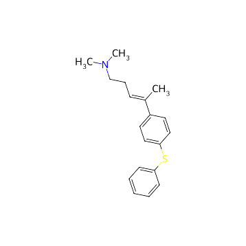 CC(=CCCN(C)C)c1ccc(Sc2ccccc2)cc1